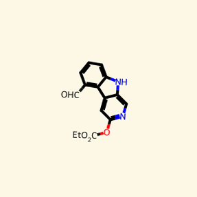 CCOC(=O)Oc1cc2c(cn1)[nH]c1cccc(C=O)c12